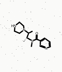 CC([C@@H](C)N(C)C(=O)c1cccnc1)N1CCNCC1